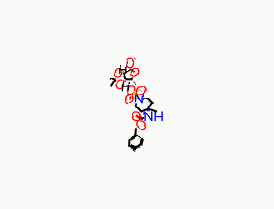 CO[C@@H]1O[C@H](COS(=O)(=O)N2CCC(C)(NC(=O)OCc3ccccc3)CC2)[C@H]2OC(C)(C)O[C@@H]12